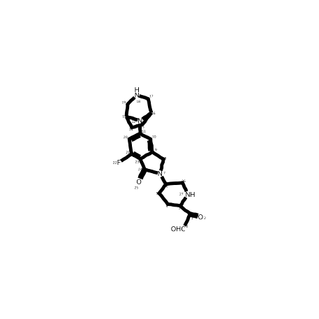 O=CC(=O)C1CCC(N2Cc3cc(N4C5CCC4CNC5)cc(F)c3C2=O)CN1